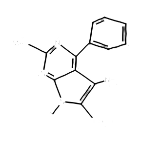 CCOC(=O)c1c(N)c2c(-c3ccccc3)nc(SC)nc2n1C